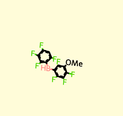 COc1c(F)c(F)c(F)c(Bc2c(F)cc(F)c(F)c2F)c1F